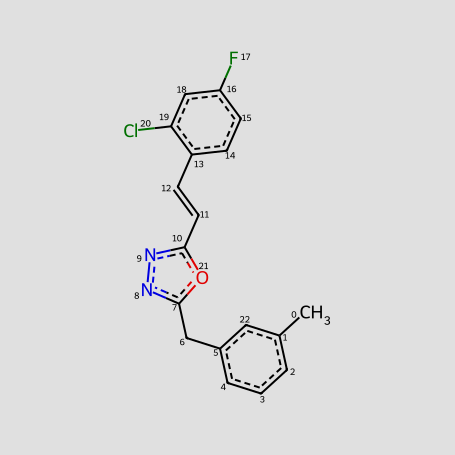 Cc1cccc(Cc2nnc(/C=C/c3ccc(F)cc3Cl)o2)c1